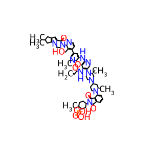 C=CC(=O)Nc1cc(Nc2cc(-c3ccnc(N4CCn5c(cc6c5CC(C)(C)C6)C4=O)c3CO)cn(C)c2=O)ncc1N1CCN(C2CCN(c3cccc4c3C(=O)N(C3CCC(C)(OP(=O)(O)O)CC3)C4=O)[C@H](C)C2)C[C@@H]1C